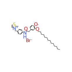 CCCCCCCCCCCCCCOc1cc(CC(=O)Nc2ccc(C[n+]3ccsc3C)cc2)ccc1OC.[Br-]